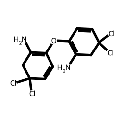 NC1=C(OC2=C(N)CC(Cl)(Cl)C=C2)C=CC(Cl)(Cl)C1